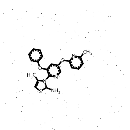 CC1=CSC(N)N1c1ncc(Sc2cccc(C)n2)cc1Oc1ccccc1